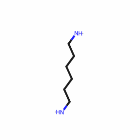 [NH]CCCCCC[NH]